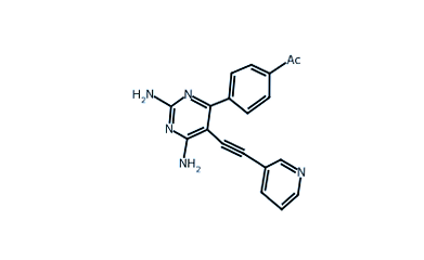 CC(=O)c1ccc(-c2nc(N)nc(N)c2C#Cc2cccnc2)cc1